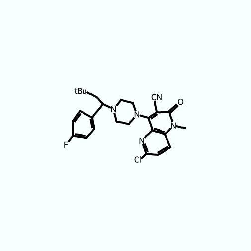 Cn1c(=O)c(C#N)c(N2CCN(C(CC(C)(C)C)c3ccc(F)cc3)CC2)c2nc(Cl)ccc21